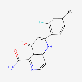 CC(C)(C)c1ccc(-c2cc(=O)c3c(C(N)=O)nccc3[nH]2)c(F)c1